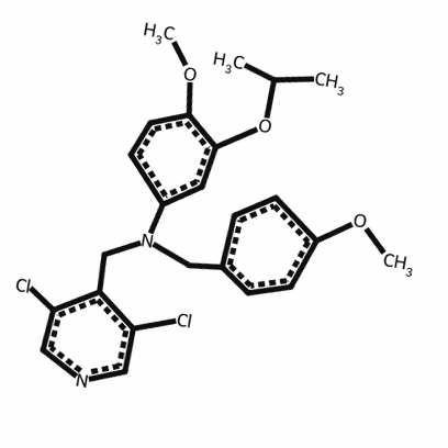 COc1ccc(CN(Cc2c(Cl)cncc2Cl)c2ccc(OC)c(OC(C)C)c2)cc1